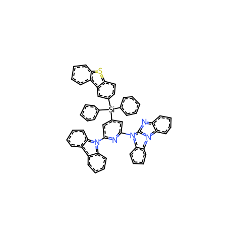 c1ccc([Si](c2ccccc2)(c2cc(-n3c4ccccc4c4ccccc43)nc(-n3c4ccccc4n4c5ccccc5nc34)c2)c2ccc3sc4ccccc4c3c2)cc1